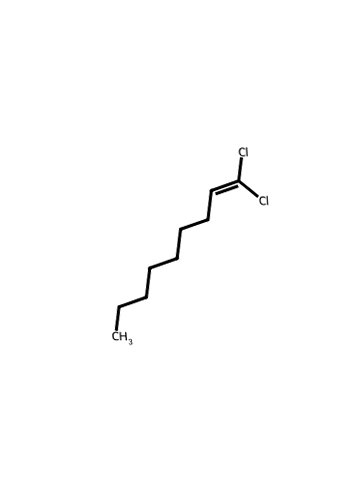 CCCCCCCC=C(Cl)Cl